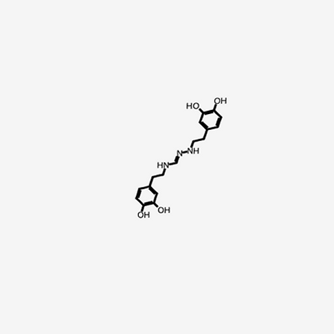 Oc1ccc(CCNC=NNCCc2ccc(O)c(O)c2)cc1O